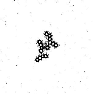 c1ccc2cc3c(cc2c1)c1ccccc1n3-c1ccc2c3cc4ccccc4cc3n(-c3cccc4c(-c5nc6ccccc6nc5-c5ccc6c(ccc7ccccc76)c5)cccc34)c2c1